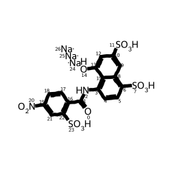 O=C(Nc1ccc(S(=O)(=O)O)c2cc(S(=O)(=O)O)cc(O)c12)c1ccc([N+](=O)[O-])cc1S(=O)(=O)O.[Na].[Na].[Na]